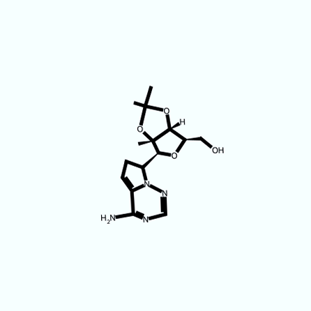 CC1(C)O[C@@H]2[C@@H](CO)O[C@@H](C3CC=C4C(N)=NC=NN43)[C@]2(C)O1